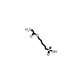 C=CC(=O)OCCCCCS(=O)(=O)O